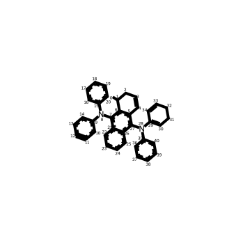 CC1CC=Cc2c1c(N(c1cc#ccc1)c1ccccc1)c1ccccc1c2N(C1=CCCC=C1)c1ccccc1